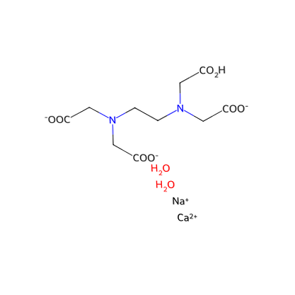 O.O.O=C([O-])CN(CCN(CC(=O)[O-])CC(=O)O)CC(=O)[O-].[Ca+2].[Na+]